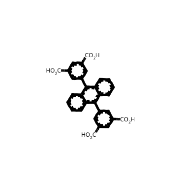 O=C(O)c1cc(C(=O)O)cc(-c2c3ccccc3c(-c3cc(C(=O)O)cc(C(=O)O)c3)c3ccccc23)c1